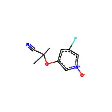 CC(C)(C#N)Oc1cc(F)c[n+]([O-])c1